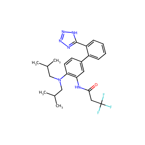 CC(C)CN(CC(C)C)c1ccc(-c2ccccc2-c2nnn[nH]2)cc1NC(=O)CC(F)(F)F